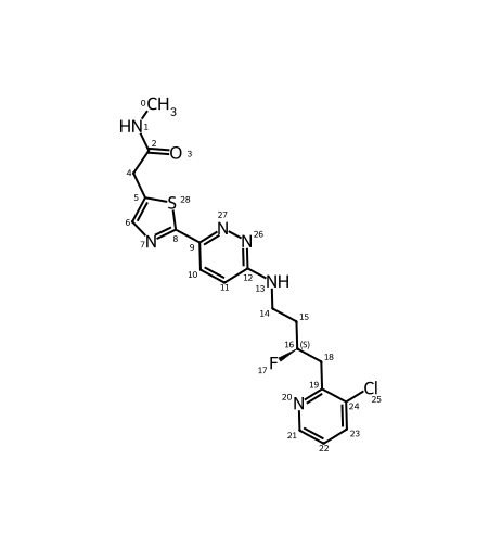 CNC(=O)Cc1cnc(-c2ccc(NCC[C@H](F)Cc3ncccc3Cl)nn2)s1